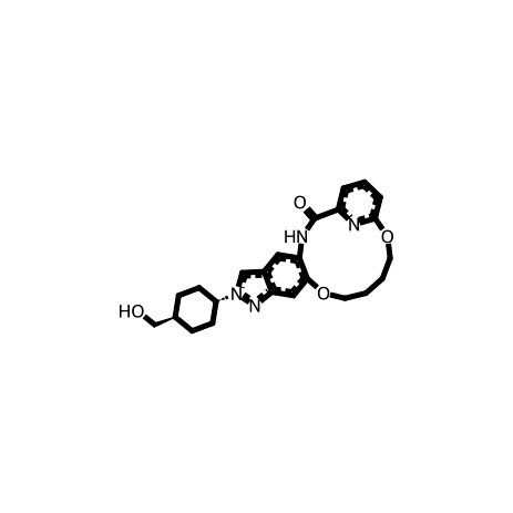 O=C1Nc2cc3cn([C@H]4CC[C@H](CO)CC4)nc3cc2OCCCCOc2cccc1n2